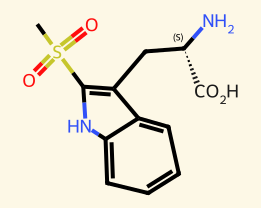 CS(=O)(=O)c1[nH]c2ccccc2c1C[C@H](N)C(=O)O